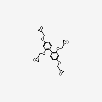 c1cc(-c2ccc(OCC3CO3)cc2OCC2CO2)c(OCC2CO2)cc1OCC1CO1